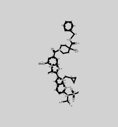 COc1cc(C(=O)N2CCC(N)(C(=O)OCc3ccccc3)CC2)cc2nc(-c3cc4ccc(N(C(F)F)S(C)(=O)=O)nc4n3CC3CC3)c(C)n12